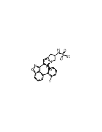 CCS(=O)(=O)N[C@@H]1Cn2cc(-c3noc4cccc(-c5c(F)cccc5F)c34)c(=O)n2C1